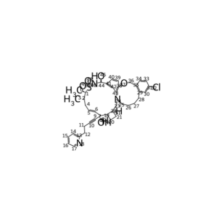 C[C@@H]1[C@@H](C)C/C=C/[C@](O)(C#CCCc2ccccn2)[C@@H]2CC[C@H]2CN2CCCCc3cc(Cl)ccc3COc3ccc(cc32)C(=O)NS1(=O)=O